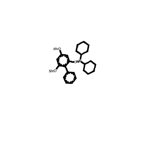 C1CCC(PC2CCCCC2)CC1.COc1cc(OC)c(-c2ccccc2)c(OC)c1